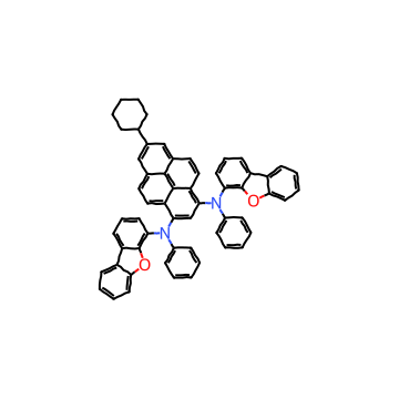 c1ccc(N(c2cc(N(c3ccccc3)c3cccc4c3oc3ccccc34)c3ccc4cc(C5CCCCC5)cc5ccc2c3c54)c2cccc3c2oc2ccccc23)cc1